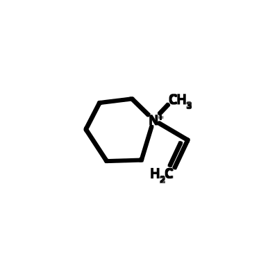 C=C[N+]1(C)CCCCC1